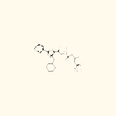 CC(CC(N)=O)CC(=O)NCC(=O)c1oc(-c2cccnc2)nc1CC1CCCCC1